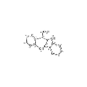 O=S(=O)(O)C(c1nc2ccccc2[nH]1)c1ccccc1O